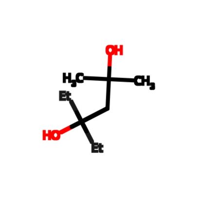 CCC(O)(CC)CC(C)(C)O